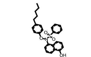 CCCCCc1ccc(ON(c2cccc3c(O)cccc23)S(=O)(=O)c2ccccc2)cc1